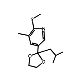 CSc1ncc(C2(CC(C)C)OCCO2)cc1C